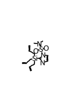 C=CC[Si](CC=C)(CC=C)c1nccn1S(=O)(=O)N(C)C